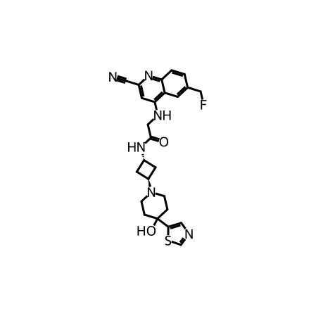 N#Cc1cc(NCC(=O)N[C@H]2C[C@H](N3CCC(O)(c4cncs4)CC3)C2)c2cc(CF)ccc2n1